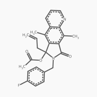 C=CCC1(OC(C)=O)c2c(c(C)c3ncccc3c2C)C(=O)N1Cc1ccc(F)cc1